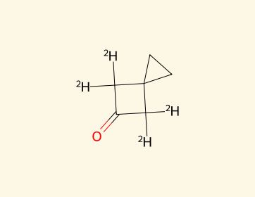 [2H]C1([2H])C(=O)C([2H])([2H])C12CC2